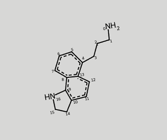 NC[CH]Cc1cccc2c3c(ccc12)CCN3